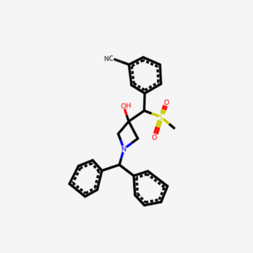 CS(=O)(=O)C(c1cccc(C#N)c1)C1(O)CN(C(c2ccccc2)c2ccccc2)C1